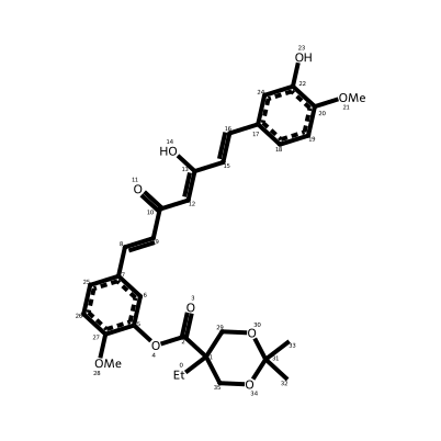 CCC1(C(=O)Oc2cc(/C=C/C(=O)/C=C(O)/C=C/c3ccc(OC)c(O)c3)ccc2OC)COC(C)(C)OC1